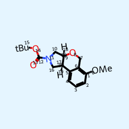 COc1cccc2c1CO[C@H]1CN(C(=O)OC(C)(C)C)C[C@@H]21